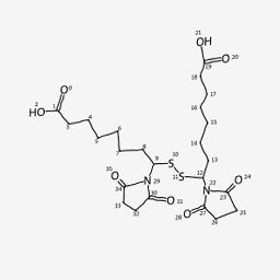 O=C(O)CCCCCCC(SSC(CCCCCCC(=O)O)N1C(=O)CCC1=O)N1C(=O)CCC1=O